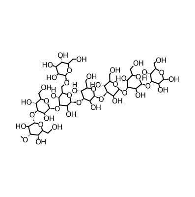 CO[C@@H]1C(O)[C@H](O[C@@H]2C(O)[C@H](O[C@@H]3C(O)[C@H](O[C@@H]4C(O)[C@H](O[C@@H]5C(O)[C@H](O[C@@H]6C(O)[C@H](O[C@@H]7C(O)[C@H](O)OC(CO)[C@H]7O)OC(CO)[C@H]6O)OC(CO)[C@H]5O)OC(CO)[C@H]4O)OC(CO[C@@H]4OC(CO)[C@@H](O)[C@H](O)C4O)[C@H]3O)OC(CO)[C@H]2O)OC(CO)[C@H]1O